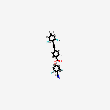 Cc1cc(F)c(C#Cc2ccc(C(=O)Oc3cc(F)c(C#N)c(F)c3)cc2)c(F)c1